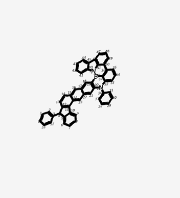 c1ccc(C2c3ccccc3-c3c2ccc2cc4cc5c(cc4cc32)N(c2ccccc2)c2cccc3c2B5n2c4ccccc4c4cccc-3c42)cc1